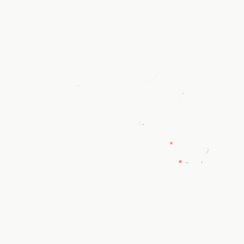 CC1(C)c2ccccc2-c2ccc(N(c3ccc4c(c3)C3(c5ccccc5-4)c4ccccc4-c4c3cc3c5c(cccc45)-c4ccccc4-3)c3ccccc3-c3ccccc3)cc21